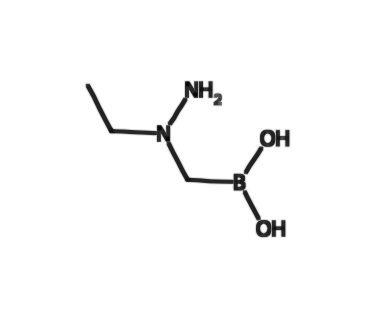 CCN(N)CB(O)O